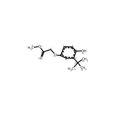 COC(=O)COc1ccc(O)c(C(C)(C)C)c1